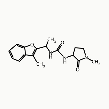 Cc1c(C(C)NC(=O)NC2CCN(C)C2=O)oc2ccccc12